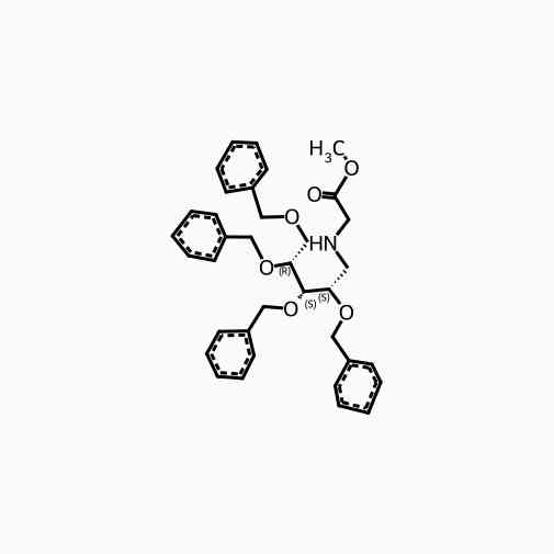 COC(=O)CNC[C@H](OCc1ccccc1)[C@H](OCc1ccccc1)[C@@H](COCc1ccccc1)OCc1ccccc1